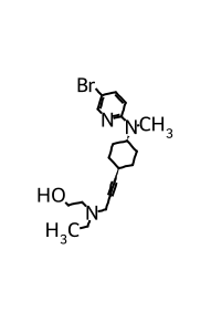 CCN(CC#C[C@H]1CC[C@H](N(C)c2ccc(Br)cn2)CC1)CCO